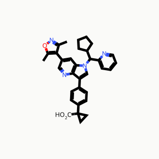 Cc1noc(C)c1-c1cnc2c(-c3ccc(C4(C(=O)O)CC4)cc3)cn(C(c3ccccn3)C3CCCC3)c2c1